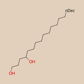 CCCCCCCCCCCCCCCCCCCCC(O)CCCO